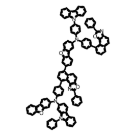 c1ccc(-c2nc3c(ccc4c(-c5ccc6c(c5)oc5ccc(N(c7ccc(-c8cccc9ccc%10nc(-c%11ccccc%11)oc%10c89)cc7)c7ccc(-n8c9ccccc9c9ccccc98)cc7)cc56)ccc(-c5ccc(N(c6ccc7c(c6)oc6ccccc67)c6ccc7c8ccccc8n(-c8ccccc8)c7c6)cc5)c43)o2)cc1